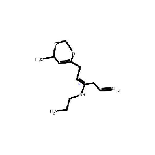 C=CC/C(=C\CC1=CC(C)OCO1)NCCN